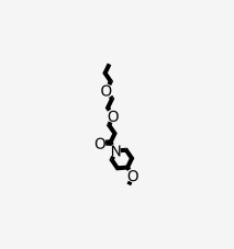 CCCOCCOCCC(=O)N1CCC(OC)CC1